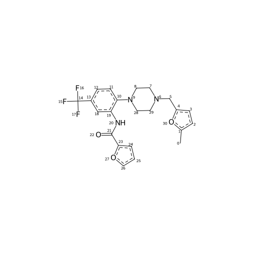 Cc1ccc(CN2CCN(c3ccc(C(F)(F)F)cc3NC(=O)c3ccco3)CC2)o1